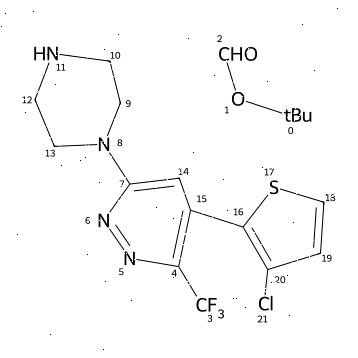 CC(C)(C)OC=O.FC(F)(F)c1nnc(N2CCNCC2)cc1-c1sccc1Cl